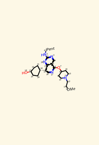 CCCC(C)Nc1ncc2c(OC3CCN(CCOC)CC3)ncc([C@H]3CC[C@H](O)CC3)c2n1